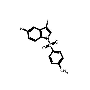 Cc1ccc(S(=O)(=O)n2cc(I)c3cc(F)ccc32)cc1